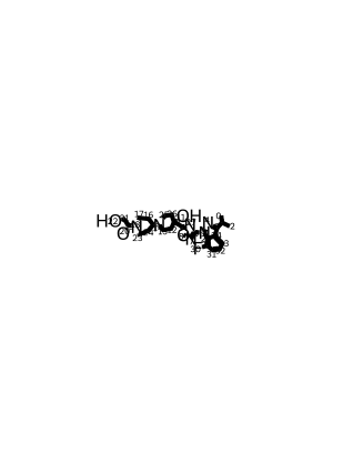 CC(C)c1nn(-c2noc(C3(O)CCN(C4CCN(C(=O)CO)CC4)CC3)n2)c2c(F)cccc12